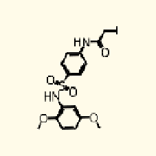 COc1ccc(OC)c(NS(=O)(=O)c2ccc(NC(=O)CI)cc2)c1